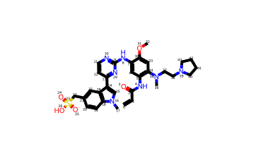 C=CC(=O)Nc1cc(Nc2nccc(-c3cn(C)c4ccc(CS(=O)(=O)O)cc34)n2)c(OC)cc1N(C)CCN1CCCC1